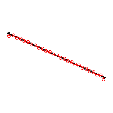 CC(=O)CCOCCOCCOCCOCCOCCOCCOCCOCCOCCOCCOCCOCCOCCOCCOCCOCCOCCOCCOCCOCCOCCOCCOCCOCCOCCC(=O)C(C)C